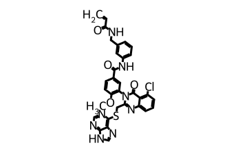 C=CC(=O)NCc1cccc(NC(=O)c2ccc(OC)c(-n3c(CSc4ncnc5[nH]cnc45)nc4cccc(Cl)c4c3=O)c2)c1